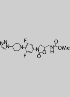 COC(=O)NCC1CN(c2cc(F)c(N3CCC(n4ccnn4)CC3)c(F)c2)C(=O)O1